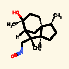 C[C@@H]1CC[C@H]2[C@](C)(CN=O)[C@H]3C[C@@]12CC[C@]3(C)O